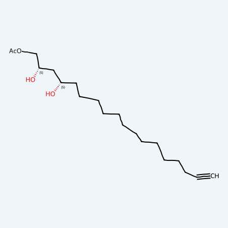 C#CCCCCCCCCCCCC[C@H](O)C[C@H](O)COC(C)=O